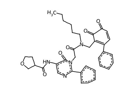 CCCCCCN(CC1=C(c2ccccc2)C=CC(=O)C1=O)C(=O)Cn1c(-c2ccccc2)ncc(NC(=O)C2CCOC2)c1=O